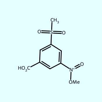 CO[N+](=O)c1cc(C(=O)O)cc(S(C)(=O)=O)c1